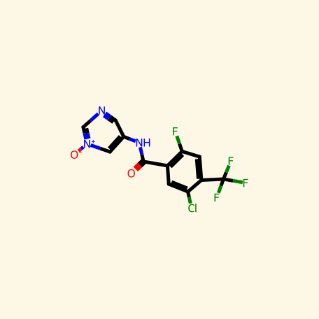 O=C(Nc1cnc[n+]([O-])c1)c1cc(Cl)c(C(F)(F)F)cc1F